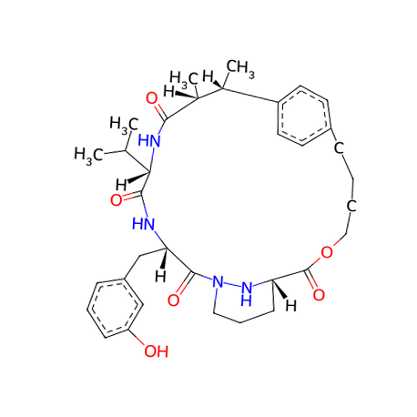 CC(C)[C@@H]1NC(=O)[C@H](C)[C@H](C)c2ccc(cc2)CCCCOC(=O)[C@@H]2CCCN(N2)C(=O)[C@H](Cc2cccc(O)c2)NC1=O